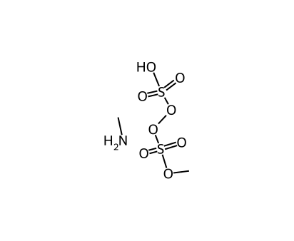 CN.COS(=O)(=O)OOS(=O)(=O)O